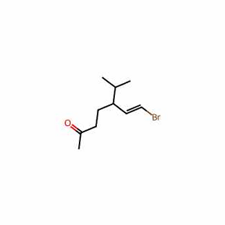 CC(=O)CCC(C=CBr)C(C)C